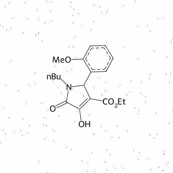 CCCCN1C(=O)C(O)=C(C(=O)OCC)C1c1ccccc1OC